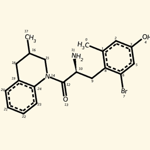 Cc1cc(O)cc(Br)c1C[C@H](N)C(=O)N1CC(C)Cc2ccccc21